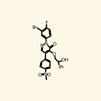 CC(C)C(O)COc1c(-c2ccc(S(C)(=O)=O)cc2)cnn(-c2ccc(F)c(Br)c2)c1=O